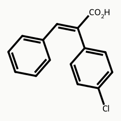 O=C(O)C(=Cc1ccccc1)c1ccc(Cl)cc1